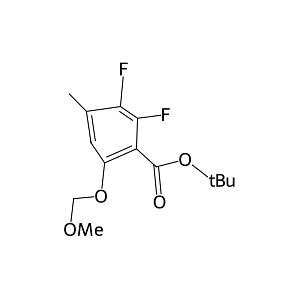 COCOc1cc(C)c(F)c(F)c1C(=O)OC(C)(C)C